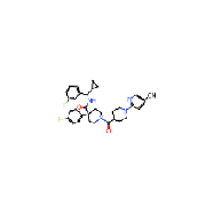 N#Cc1ccc(N2CCC(C(=O)N3CCC(C(=O)N[C@H](c4cccc(F)c4)C4CC4)(c4ccc(F)cc4)CC3)CC2)nc1